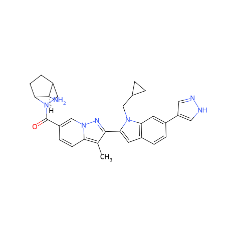 Cc1c(-c2cc3ccc(-c4cn[nH]c4)cc3n2CC2CC2)nn2cc(C(=O)N3CC4CCC3[C@@H]4N)ccc12